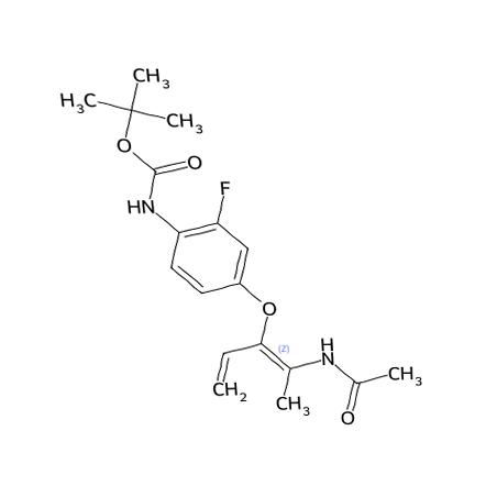 C=C/C(Oc1ccc(NC(=O)OC(C)(C)C)c(F)c1)=C(\C)NC(C)=O